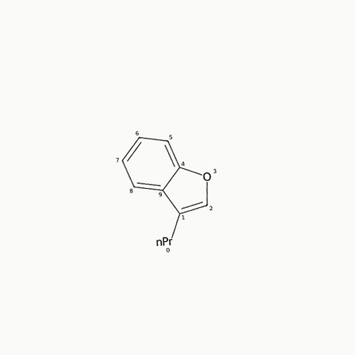 [CH2]CCc1coc2ccccc12